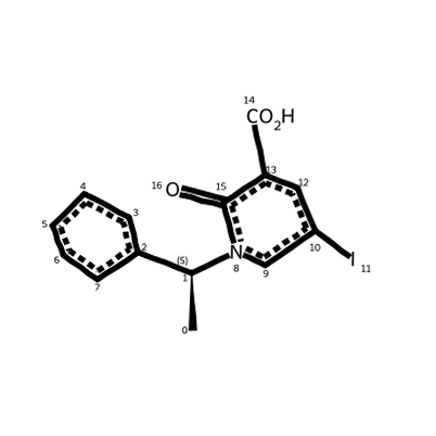 C[C@@H](c1ccccc1)n1cc(I)cc(C(=O)O)c1=O